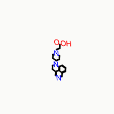 O=C(O)CCN1CCC(N2CCc3cncc4cccc2c34)CC1